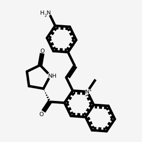 C[n+]1c(C=Cc2ccc(N)cc2)c(C(=O)[C@@H]2CCC(=O)N2)cc2ccccc21